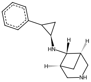 c1ccc(C2C[C@H]2N[C@H]2[C@@H]3CNC[C@H]2C3)cc1